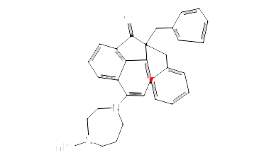 CCCN1CCCN(c2ccc3c4c(cccc24)C(=O)C3(Cc2ccccc2)Cc2ccccc2)CC1